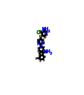 Cc1cccc2c1CC1(CCN(c3ncc(Sc4ccnc(N)c4Cl)nn3)CC1)[C@H]2N